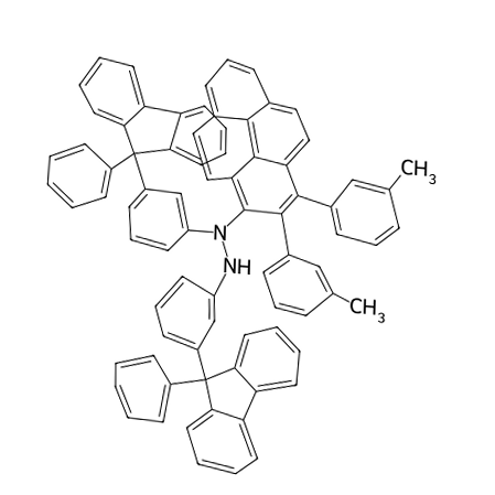 Cc1cccc(-c2c(-c3cccc(C)c3)c3ccc4cccc5ccc(c2N(Nc2cccc(C6(c7ccccc7)c7ccccc7-c7ccccc76)c2)c2cccc(C6(c7ccccc7)c7ccccc7-c7ccccc76)c2)c3c45)c1